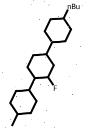 CCCCC1CCC(C2CCC(C3CCC(C)CC3)C(F)C2)CC1